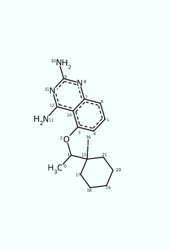 CC(Oc1cccc2nc(N)nc(N)c12)C1(I)CCCCC1